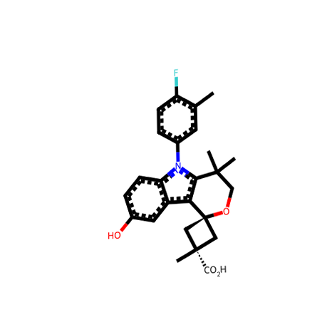 Cc1cc(-n2c3c(c4cc(O)ccc42)[C@]2(C[C@@](C)(C(=O)O)C2)OCC3(C)C)ccc1F